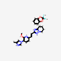 COc1nc(/C=C/c2nc3n(n2)CCC[C@H]3c2cccc3c2OC(F)(F)O3)ccc1-n1cnc(C)c1